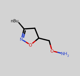 CCCCC1=NOC(CON)C1